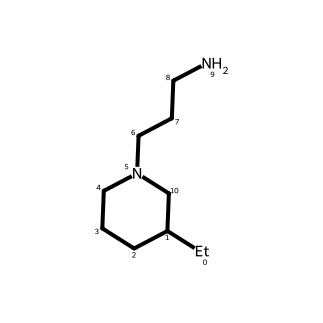 CCC1CCCN(CCCN)C1